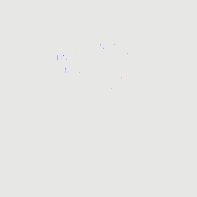 c1ccc(-c2c(-c3ccc(C4CCC4)cc3)oc3ccnc(-c4cn[nH]c4)c23)cc1